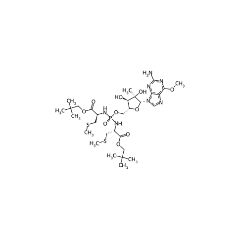 COc1nc(N)nc2c1ncn2[C@@H]1O[C@H](COP(=O)(N[C@@H](CSC)C(=O)OCC(C)(C)C)N[C@@H](CSC)C(=O)OCC(C)(C)C)[C@@H](O)[C@@]1(C)O